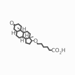 C[C@]12CCC(=O)C[C@@H]1CC[C@@H]1[C@@H]2CC[C@]2(C)[C@@H](OCCCCCC(=O)O)CC[C@@H]12